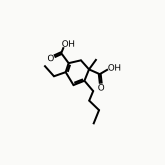 CCCCC1=CC(CC)=C(C(=O)O)CC1(C)C(=O)O